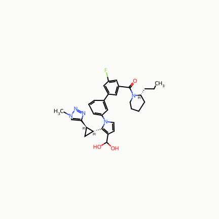 CCC[C@@H]1CCCCN1C(=O)c1cc(F)cc(-c2cccc(-n3ccc(C(O)O)c3[C@@H]3C[C@H]3c3cn(C)nn3)c2)c1